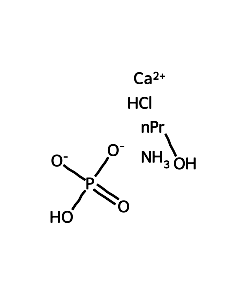 CCCO.Cl.N.O=P([O-])([O-])O.[Ca+2]